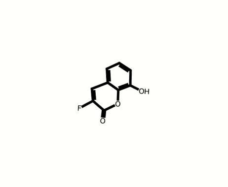 O=c1oc2c(O)cccc2cc1F